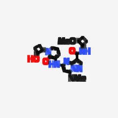 CNc1cc(Nc2cccn([C@H]3CC[C@@H]3O)c2=O)nc2c(C(=O)N[C@@H]3CC[C@H]3OC)cnn12